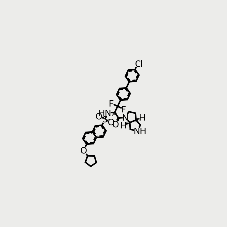 O=C([C@@H](NS(=O)(=O)c1ccc2cc(OC3CCCC3)ccc2c1)C(F)(F)c1ccc(-c2ccc(Cl)cc2)cc1)N1CC[C@@H]2CNC[C@@H]21